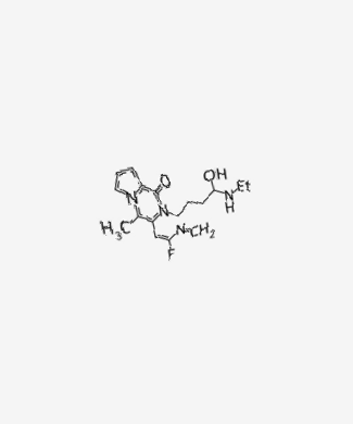 C=N/C(F)=C\c1c(C)n2cccc2c(=O)n1CCCC(O)NCC